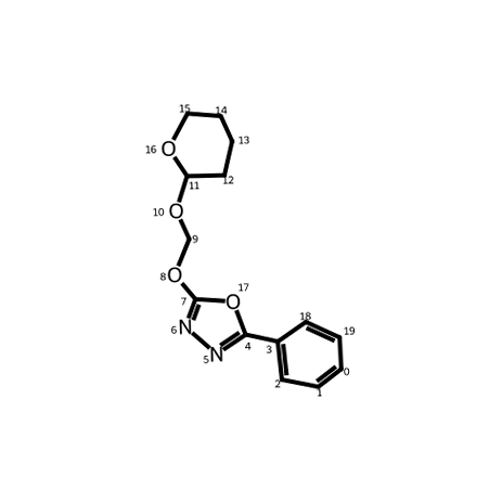 c1ccc(-c2nnc(OCOC3CCCCO3)o2)cc1